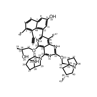 C#Cc1c(F)ccc2cc(O)cc(-c3nc(OC[C@H](C)O)c4c(N5CC6CCC(C5)N6)nc(OC[C@@]56CCCN5C[C@H](F)C6)nc4c3F)c12